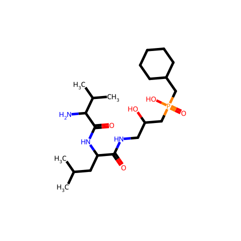 CC(C)CC(NC(=O)C(N)C(C)C)C(=O)NCC(O)CP(=O)(O)CC1CCCCC1